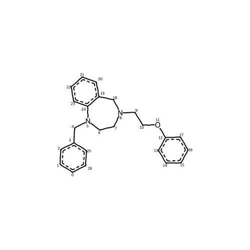 c1ccc(CN2CCN(CCOc3ccccc3)Cc3ccccc32)cc1